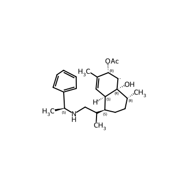 CC(=O)O[C@@H]1[CH][C@@]2(O)[C@H](C)CC[C@@H](C(C)CN[C@@H](C)c3ccccc3)[C@H]2C=C1C